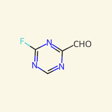 O=Cc1ncnc(F)n1